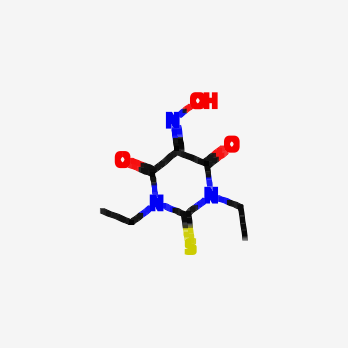 CCN1C(=O)C(=NO)C(=O)N(CC)C1=S